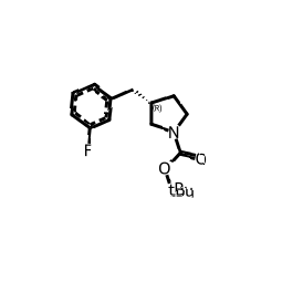 CC(C)(C)OC(=O)N1CC[C@@H](Cc2cccc(F)c2)C1